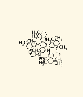 CC1(C)CCCc2cc3c(cc21)N(c1ccc2c(c1)C(C)(C)CCC2(C)C)c1cc(N(c2ccccc2)c2ccccc2)cc2c1B3c1cc3c(cc1N2c1ccc2c(c1)C(C)(C)CCC2(C)C)C(C)(C)CCC3(C)C